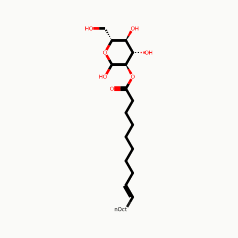 CCCCCCCC/C=C/CCCCCCCC(=O)O[C@H]1C(O)O[C@H](CO)[C@@H](O)[C@@H]1O